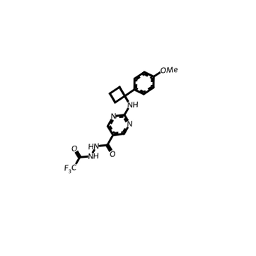 COc1ccc(C2(Nc3ncc(C(=O)NNC(=O)C(F)(F)F)cn3)CCC2)cc1